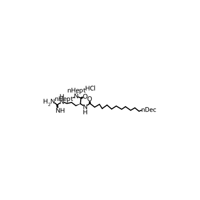 CCCCCCCCCCCCCCCCCCCCCC(=O)N[C@@H](CCCNC(=N)N)C(=O)N(CCCCCCC)CCCCCCC.Cl